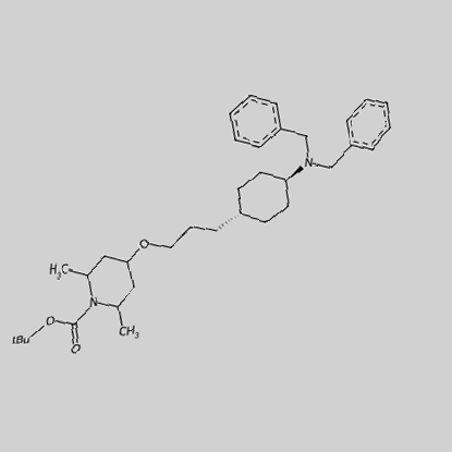 CC1CC(OCCC[C@H]2CC[C@H](N(Cc3ccccc3)Cc3ccccc3)CC2)CC(C)N1C(=O)OC(C)(C)C